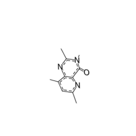 Cc1cc(C)c2nc(C)n(C)c(=O)c2n1